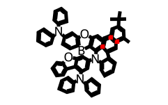 Cc1cc(-c2cc3c4c(c2)N(c2ccccc2-c2ccccc2)c2cc(N(c5ccccc5)c5ccccc5)c5c(oc6ccccc65)c2B4c2ccc(N(c4ccccc4)c4ccccc4)cc2O3)cc(C(C)(C)C)c1